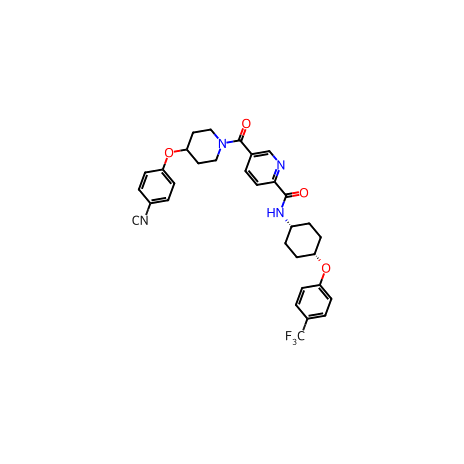 [C-]#[N+]c1ccc(OC2CCN(C(=O)c3ccc(C(=O)N[C@H]4CC[C@@H](Oc5ccc(C(F)(F)F)cc5)CC4)nc3)CC2)cc1